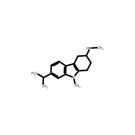 CNC1CCc2c(c3ccc(C(C)C)cc3n2C)C1